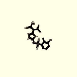 Cc1c(Cl)cccc1S(=O)(=O)Nc1ncc(C(C(=O)O)C(C)C)s1